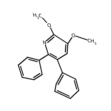 COc1cc(-c2ccccc2)c(-c2ccccc2)nc1OC